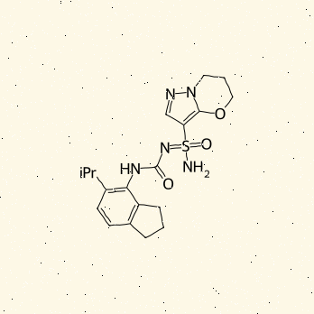 CC(C)c1ccc2c(c1NC(=O)N=S(N)(=O)c1cnn3c1OCCC3)CCC2